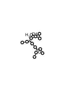 CC1(C)c2ccc(N(c3ccc(-c4ccccc4)cc3)c3ccc(-c4ccc(N(c5ccc(-c6ccccc6)cc5)c5cccc6c5oc5ccccc56)cc4)cc3)cc2-c2cc3c4ccccc4c4ccccc4c3cc21